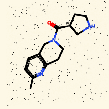 Cc1ccc2c(n1)CCN(C(=O)[C@H]1CCNC1)C2